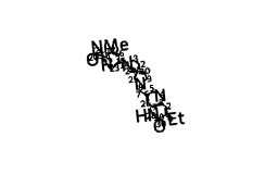 CCc1cc2ncc(CN3CCC4(CCN(c5ccc(C(=O)NC)nc5)C4)C3)cc2[nH]c1=O